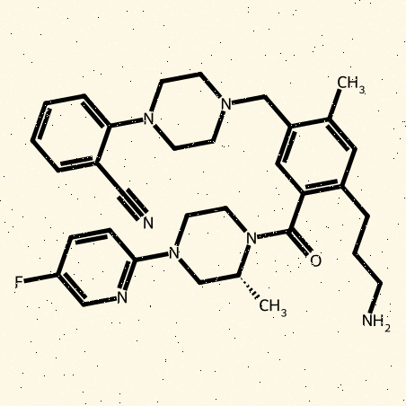 Cc1cc(CCCN)c(C(=O)N2CCN(c3ccc(F)cn3)C[C@H]2C)cc1CN1CCN(c2ccccc2C#N)CC1